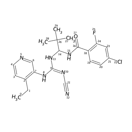 CCc1ccncc1N/C(=N\C#N)NC(NC(=O)c1ccc(Cl)cc1F)C(C)(C)C